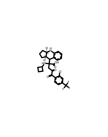 O=C(CC(NC1CCC1)(C(=O)O)C1c2ccccc2N[C@@H]2CCC[C@H]12)C(=O)c1ccc(C(F)(F)F)cc1Cl